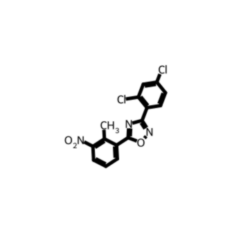 Cc1c(-c2nc(-c3ccc(Cl)cc3Cl)no2)cccc1[N+](=O)[O-]